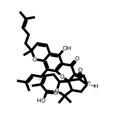 CC(C)=CCCC1(C)C=Cc2c(O)c3c(c(CC=C(C)C)c2O1)OC12C(=C[C@H]4CC1C(C)(C)OC2(C/C=C(/C)C(=O)O)C4=O)C3=O